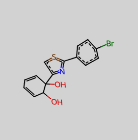 OC1C=CC=CC1(O)c1csc(-c2ccc(Br)cc2)n1